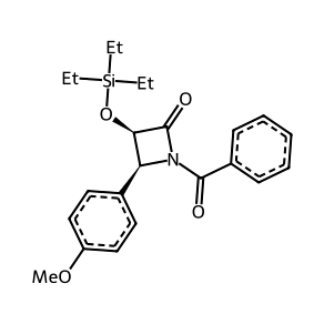 CC[Si](CC)(CC)O[C@H]1C(=O)N(C(=O)c2ccccc2)[C@H]1c1ccc(OC)cc1